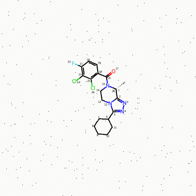 C[C@@H]1c2nnc(C3CCCCC3)n2CCN1C(=O)c1ccc(F)c(Cl)c1Cl